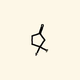 O=C1CCC(F)(F)C1